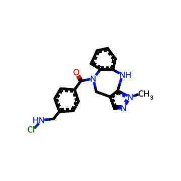 Cn1ncc2c1Nc1ccccc1N(C(=O)c1ccc(CNCl)cc1)C2